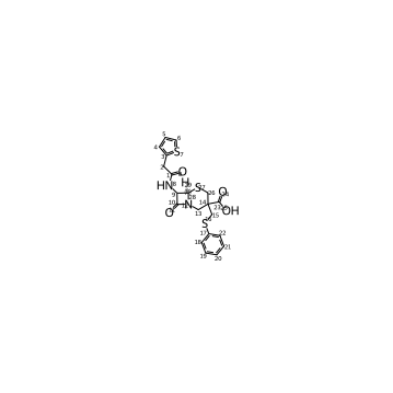 O=C(Cc1cccs1)NC1C(=O)N2CC(CSc3ccccc3)(C(=O)O)CS[C@H]12